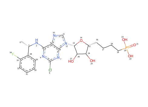 C[C@H](Nc1nc(Cl)nc2c1ncn2[C@@H]1O[C@H](CCCCP(=O)(O)O)C(O)C1O)c1ccccc1F